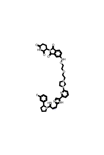 N=C(/C=C\c1ncc(-c2cccc(N3CCN(CCOCCONc4ccc5c(c4)C(=O)N(C4CCC(=O)NC4=O)C5=O)C3)n2)[nH]1)N1CCCC1c1cccc(F)c1